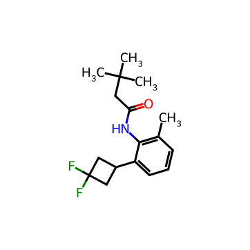 Cc1cccc(C2CC(F)(F)C2)c1NC(=O)CC(C)(C)C